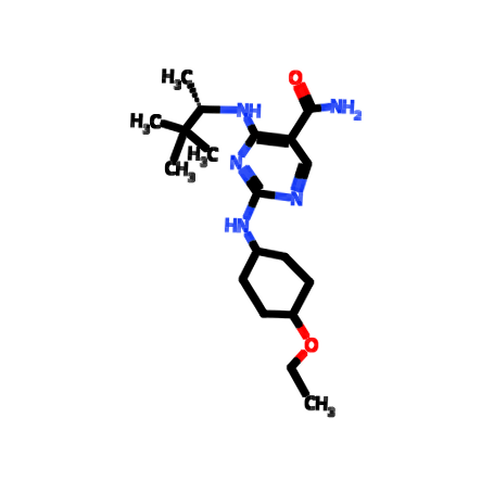 CCOC1CCC(Nc2ncc(C(N)=O)c(N[C@@H](C)C(C)(C)C)n2)CC1